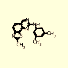 CC1=CC(Nc2ncc3ccc4nc(C)sc4c3n2)CC(C)=C1